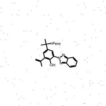 C=C(C)c1cc(C(C)(C)CCCCC)cc(-n2nc3ccccc3n2)c1O